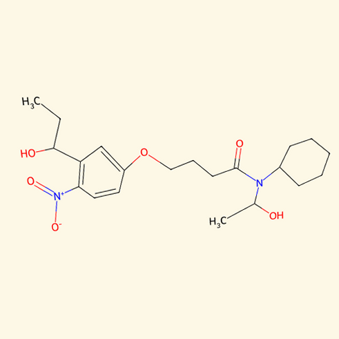 CCC(O)c1cc(OCCCC(=O)N(C(C)O)C2CCCCC2)ccc1[N+](=O)[O-]